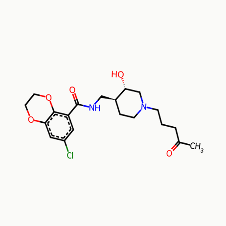 CC(=O)CCCN1CC[C@@H](CNC(=O)c2cc(Cl)cc3c2OCCO3)[C@H](O)C1